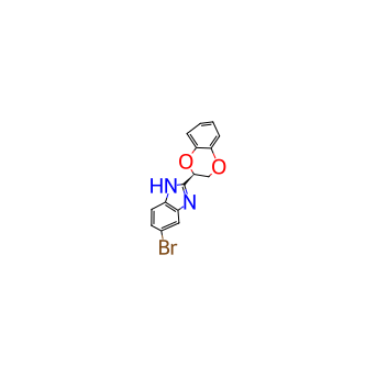 Brc1ccc2[nH]c([C@@H]3COc4ccccc4O3)nc2c1